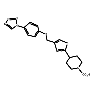 O=C(O)N1CCC(c2nc(COc3ccc(-n4cnnn4)cc3)cs2)CC1